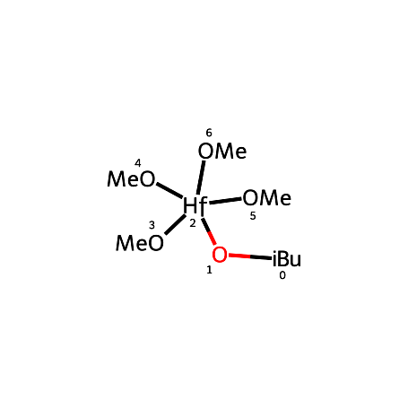 CCC(C)[O][Hf]([O]C)([O]C)([O]C)[O]C